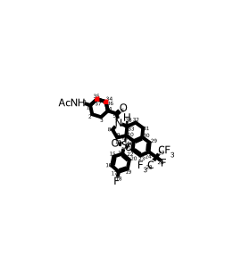 CC(=O)NC12CCC(C(=O)N3CC[C@@]4(S(=O)(=O)c5ccc(F)cc5)c5ccc(C(F)(C(F)(F)F)C(F)(F)F)cc5CC[C@@H]34)(CC1)CC2